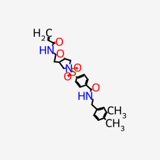 C=CC(=O)NC1CC2CN(S(=O)(=O)c3ccc(C(=O)NCCc4ccc(C)c(C)c4)cc3)CC2O1